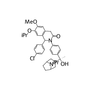 COc1cc2c(cc1OC(C)C)C(c1ccc(Cl)cc1)N(c1ccc([C@@](C)(O)C3CC4CCC(C3)N4C(C)C)cc1)C(=O)C2